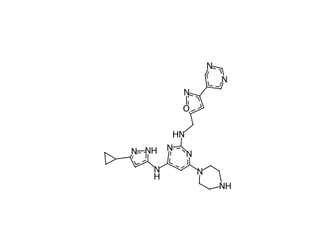 c1ncc(-c2cc(CNc3nc(Nc4cc(C5CC5)n[nH]4)cc(N4CCNCC4)n3)on2)cn1